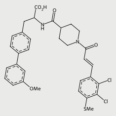 COc1cccc(-c2ccc(CC(NC(=O)C3CCN(C(=O)C=Cc4ccc(SC)c(Cl)c4Cl)CC3)C(=O)O)cc2)c1